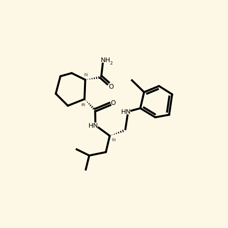 Cc1ccccc1NC[C@H](CC(C)C)NC(=O)[C@@H]1CCCC[C@@H]1C(N)=O